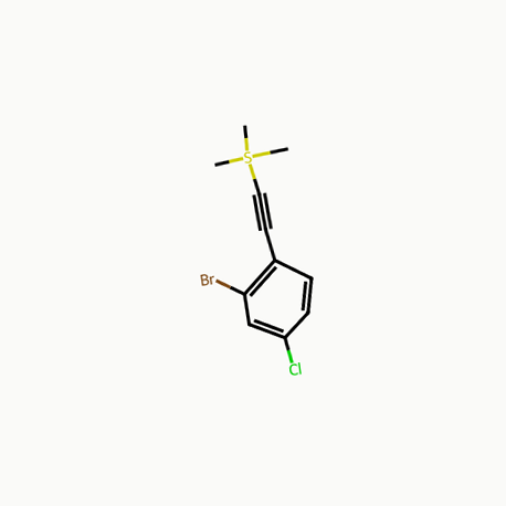 CS(C)(C)C#Cc1ccc(Cl)cc1Br